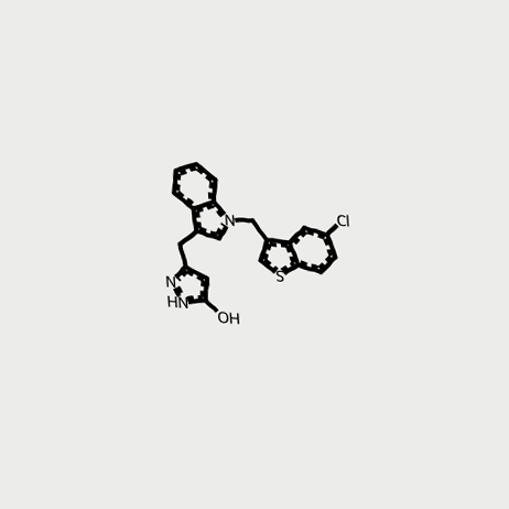 Oc1cc(Cc2cn(Cc3csc4ccc(Cl)cc34)c3ccccc23)n[nH]1